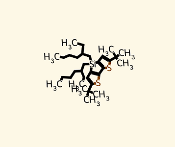 CCCCC(CC)C[Si]1(CC(CC)CCCC)c2cc(C(C)(C)C)sc2-c2sc(C(C)(C)C)cc21